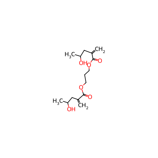 C=C(CC(C)O)C(=O)OCCCOC(=O)C(=C)CC(C)O